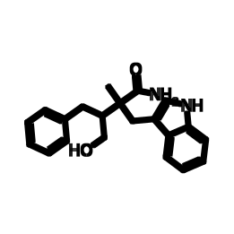 CC(Cc1c[nH]c2ccccc12)(C(N)=O)C(CO)Cc1ccccc1